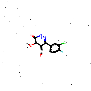 CCOC1C(=O)NN=C(c2ccc(F)c(Cl)c2)C1=C=O